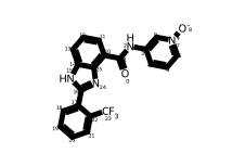 O=C(Nc1ccc[n+]([O-])c1)c1cccc2[nH]c(-c3ccccc3C(F)(F)F)nc12